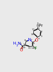 CCCc1ccc(Oc2ncc(C(N)=O)cc2F)cc1